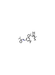 CSC(C)NCC(C)Oc1cc(F)cc(/C=C/C(=O)C(C)C)c1